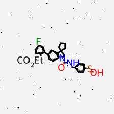 CCOC(=O)c1ccc(F)cc1-c1ccc2c(c1)C1(CCCC1)CN2C(=O)NCc1ccc(SO)cc1